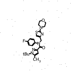 Cc1cc(C(=O)N(Cc2csc(N3CCOCC3)n2)c2ccc(F)cc2)nn1C(C)(C)C